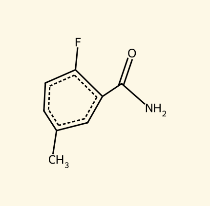 Cc1ccc(F)c(C(N)=O)c1